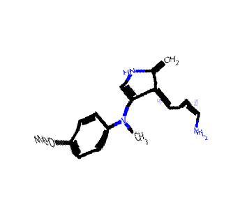 C=c1[nH]cc(N(C)c2ccc(OC)cc2)/c1=C/C=C\N